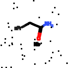 CCCCC(N)=O.[Nb]